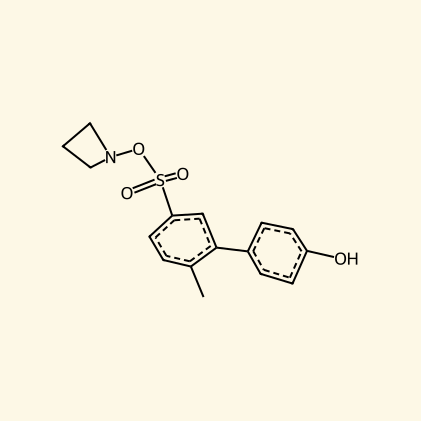 Cc1ccc(S(=O)(=O)ON2CCC2)cc1-c1ccc(O)cc1